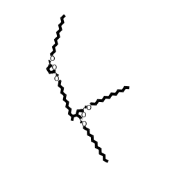 CCCCCCCCCCCCOC[C@@H]1CC[C@@H](COCCCCCCCCCCC(C)C2C[C@H](COCCCCCCCCCCCC)O[C@@H]2COCCCCCCCCCCCC)O1